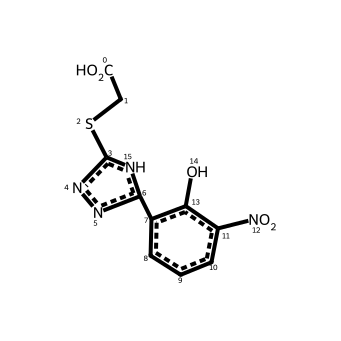 O=C(O)CSc1nnc(-c2cccc([N+](=O)[O-])c2O)[nH]1